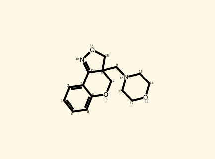 c1ccc2c(c1)OCC1(CN3CCOCC3)CON=C21